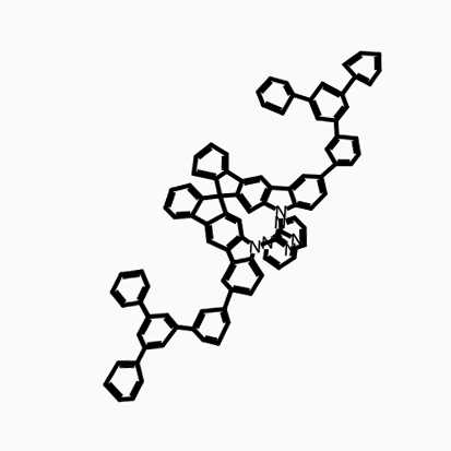 c1ccc(-c2cc(-c3ccccc3)cc(-c3cccc(-c4ccc5c(c4)c4cc6c(cc4n5-c4ncccn4)C4(c5ccccc5-6)c5ccccc5-c5cc6c7cc(-c8cccc(-c9cc(-c%10ccccc%10)cc(-c%10ccccc%10)c9)c8)ccc7n(-c7ncccn7)c6cc54)c3)c2)cc1